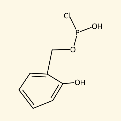 Oc1ccccc1COP(O)Cl